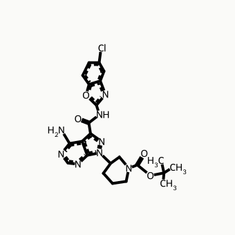 CC(C)(C)OC(=O)N1CCCC(n2nc(C(=O)Nc3nc4cc(Cl)ccc4o3)c3c(N)ncnc32)C1